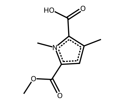 COC(=O)c1cc(C)c(C(=O)O)n1C